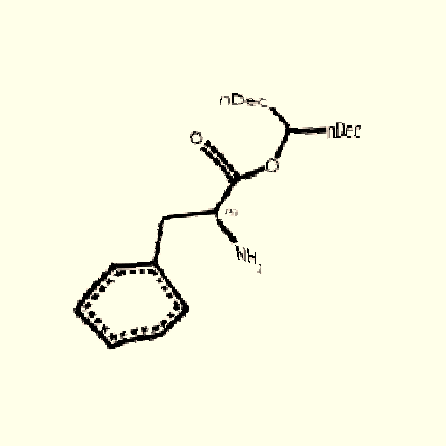 CCCCCCCCCCC(CCCCCCCCCC)OC(=O)[C@@H](N)Cc1ccccc1